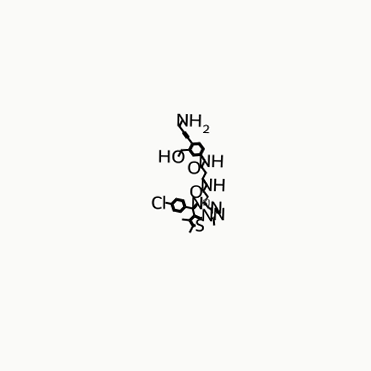 Cc1sc2c(c1C)C(c1ccc(Cl)cc1)=N[C@@H](CC(=O)NCCC(=O)Nc1ccc(C#CCN)c(CO)c1)c1nnc(C)n1-2